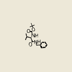 CC(C)[C@H](NC(=O)OC(C)(C)C)C(=O)NCc1ccccc1